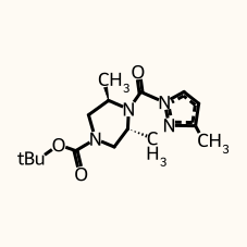 Cc1ccn(C(=O)N2[C@H](C)CN(C(=O)OC(C)(C)C)C[C@H]2C)n1